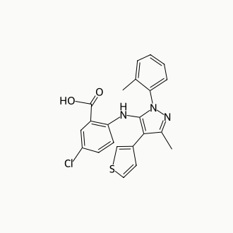 Cc1ccccc1-n1nc(C)c(-c2ccsc2)c1Nc1ccc(Cl)cc1C(=O)O